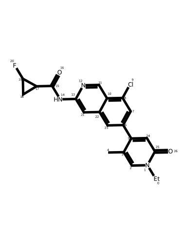 CCn1cc(C)c(-c2cc(Cl)c3cnc(NC(=O)C4CC4F)cc3c2)cc1=O